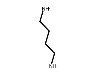 [NH]CCCC[NH]